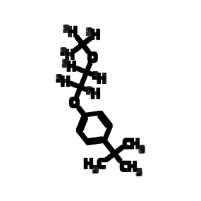 [2H]C([2H])([2H])OC([2H])([2H])C([2H])([2H])Oc1ccc(C(C)(C)C)cc1